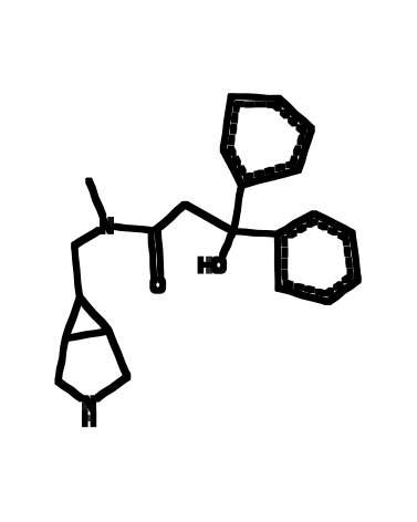 CN(CC1C2CNCC21)C(=O)CC(O)(c1ccccc1)c1ccccc1